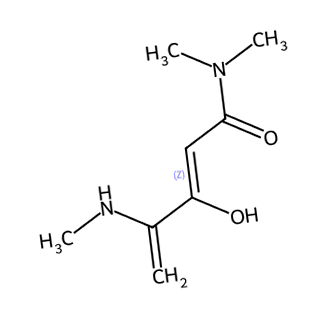 C=C(NC)/C(O)=C/C(=O)N(C)C